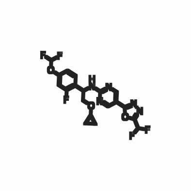 Fc1cc(OC(F)F)ccc1C(COC1CC1)Nc1ncc(-c2nnc(C(F)F)o2)cn1